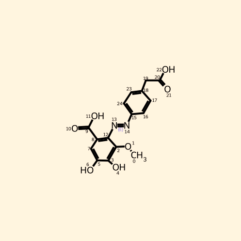 COc1c(O)c(O)cc(C(=O)O)c1/N=N/c1ccc(CC(=O)O)cc1